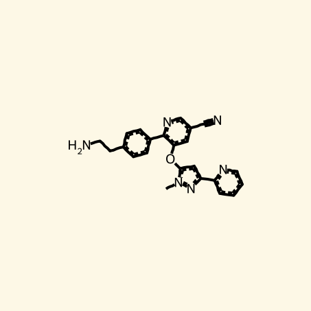 Cn1nc(-c2ccccn2)cc1Oc1cc(C#N)cnc1-c1ccc(CCN)cc1